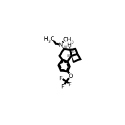 CCN(C)[C@H]1Cc2ccc(OC(F)(F)F)cc2[C@@]23CCC2C[C@H]13